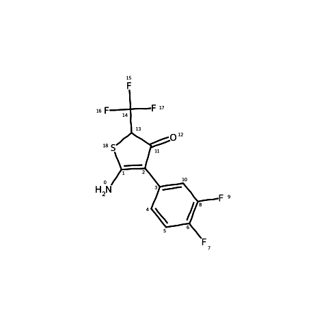 NC1=C(c2ccc(F)c(F)c2)C(=O)C(C(F)(F)F)S1